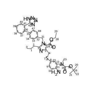 CCCc1nc(CSc2ccc(N)c(N(C)C(=O)OC(C)(C)C)c2)c(C(=O)OCC)n1Cc1ccc(-c2ccccc2-c2nnn[nH]2)cc1